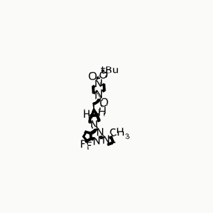 C[C@H]1CCN1c1nc(N2C[C@@H]3[C@@H](CC(=O)N4CCN(C(=O)OC(C)(C)C)CC4)[C@@H]3C2)c2c(n1)C(F)(F)CC2